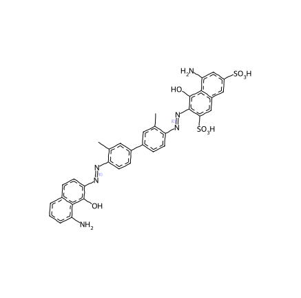 Cc1cc(-c2ccc(/N=N/c3c(S(=O)(=O)O)cc4cc(S(=O)(=O)O)cc(N)c4c3O)c(C)c2)ccc1/N=N/c1ccc2cccc(N)c2c1O